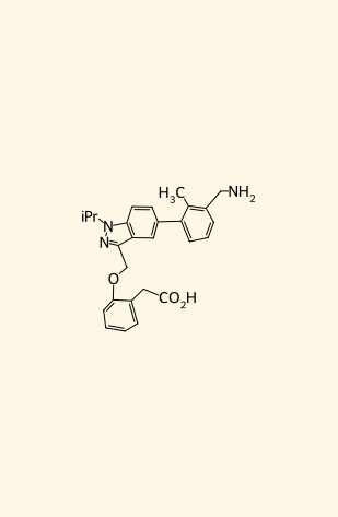 Cc1c(CN)cccc1-c1ccc2c(c1)c(COc1ccccc1CC(=O)O)nn2C(C)C